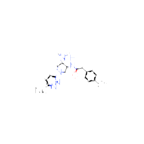 CC(C)c1ccc(CC(=O)N[C@@H]2CN(c3ccc(C#N)nn3)C[C@@H]2N(C)C)cc1